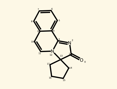 O=C1N=C2c3ccccc3C=CN2C12CCCC2